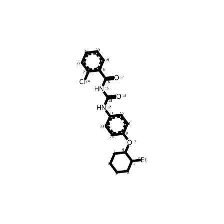 CCC1CCCCC1Oc1ccc(NC(=O)NC(=O)c2ccccc2Cl)cc1